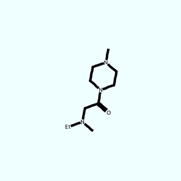 CCN(C)CC(=O)N1CCN(C)CC1